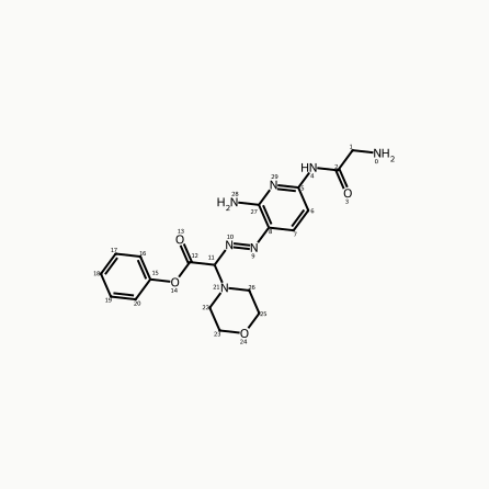 NCC(=O)Nc1ccc(N=NC(C(=O)Oc2ccccc2)N2CCOCC2)c(N)n1